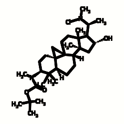 C[C@@H](C1[C@H](O)C[C@@]2(C)[C@@H]3CC[C@H]4C(C)(C)[C@@H](N(C)C(=O)OC(C)(C)C)CC[C@@]45C[C@@]35CC[C@]12C)N(C)Cl